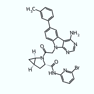 Cc1cccc(-c2ccc3c(c2)c2c(N)ncnc2n3CC(=O)N2[C@@H]3C[C@@H]3C[C@H]2C(=O)Nc2cccc(Br)n2)c1